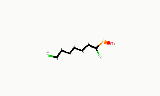 O=PC(Cl)CCCCCCCl